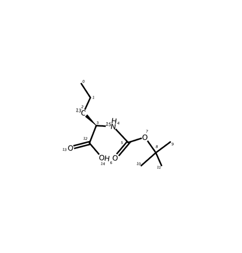 CC[13CH2][C@@H]([15NH]C(=O)OC(C)(C)C)C(=O)O